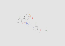 CC(OCC(F)F)c1ccc(N2CCN(C(=O)c3cc(S(C)(=O)=O)ccc3-c3ccccc3F)CC2)c(F)c1